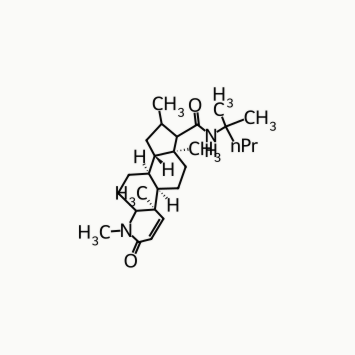 CCCC(C)(C)NC(=O)C1C(C)C[C@H]2[C@@H]3CCC4N(C)C(=O)C=C[C@]4(C)[C@@H]3CC[C@]12C